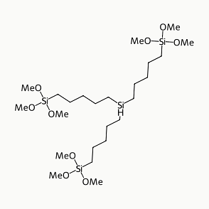 CO[Si](CCCCC[SiH](CCCCC[Si](OC)(OC)OC)CCCCC[Si](OC)(OC)OC)(OC)OC